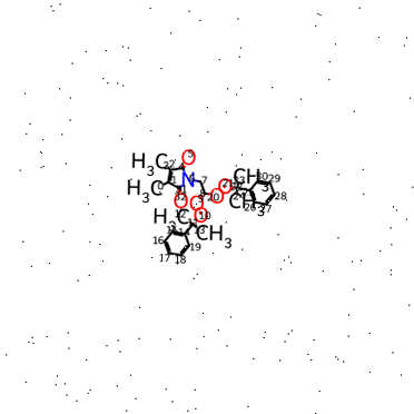 CC1=C(C)C(=O)N(CC(OOC(C)(C)c2ccccc2)OOC(C)(C)c2ccccc2)C1=O